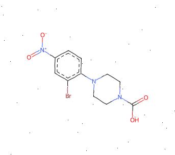 O=C(O)N1CCN(c2ccc([N+](=O)[O-])cc2Br)CC1